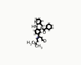 CN(C)C/C=C(\CC=O)c1ccc2c(c1)N(C(=O)C1CCCCC1)Cc1cccnc1N2